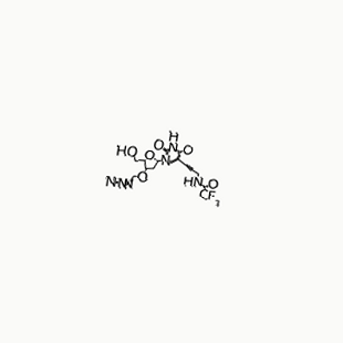 [N-]=[N+]=NCOC1CC(n2cc(C#CCNC(=O)C(F)(F)F)c(=O)[nH]c2=O)OC1CO